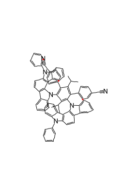 CC(C)c1c(-c2ccc(C#N)cc2)c(-n2c3ccccc3c3ccc4c(c5ccccc5n4-c4ccccc4)c32)c(C(C)C)c(-n2c3ccccc3c3ccc4c(c5ccccc5n4-c4ccccc4)c32)c1-c1ccc(C#N)cc1